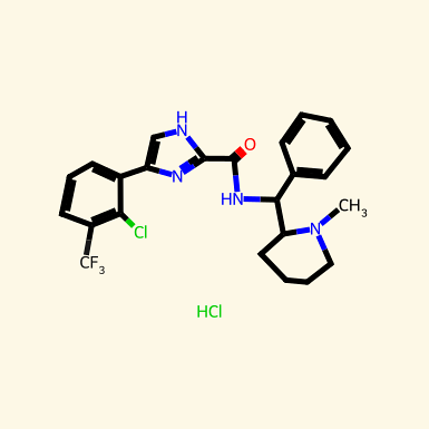 CN1CCCCC1C(NC(=O)c1nc(-c2cccc(C(F)(F)F)c2Cl)c[nH]1)c1ccccc1.Cl